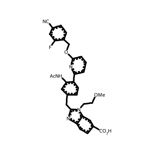 COCCn1c(Cc2ccc(-c3cccc(OCc4ccc(C#N)cc4F)n3)c(NC(C)=O)c2)nc2ccc(C(=O)O)cc21